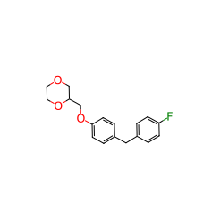 Fc1ccc(Cc2ccc(OCC3COCCO3)cc2)cc1